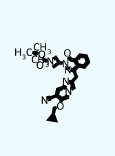 CC(C)(C)OC(=O)N1CC(n2nc(Cc3cn4cc(OCC5CC5)c(C#N)cc4n3)c3ccccc3c2=O)C1